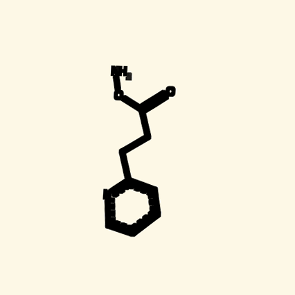 NOC(=O)CCc1ccccn1